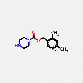 Cc1ccc(COC(=O)N2CCNCC2)c(C)c1